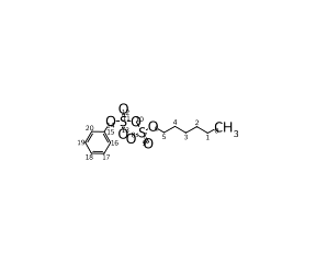 CCCCCCOS(=O)(=O)OS(=O)(=O)Oc1ccccc1